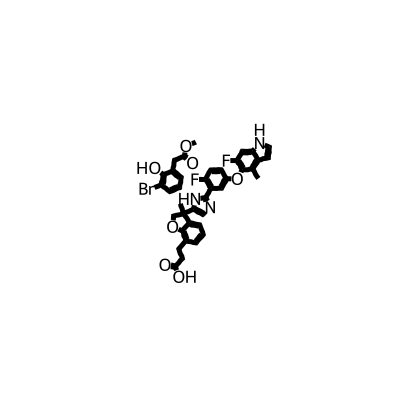 COC(=O)Cc1cccc(Br)c1O.Cc1c(Oc2ccc(F)c(-c3ncc(C4(C)COc5c(CCC(=O)O)cccc54)[nH]3)c2)c(F)cc2[nH]ccc12